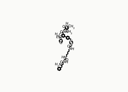 CCN(c1cc(-c2ccc(CN3CCN(CC(=O)NCCCCCCNC(=O)CNC(=O)CC(N)Cc4ccccc4)CC3)cc2)cc(C(=O)NCc2c(C)cc(C)[nH]c2=O)c1C)C1CCOCC1